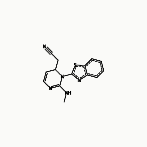 CNC1=NC=CC(CC#N)N1c1nc2ccccc2s1